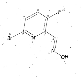 ON=Cc1nc(Br)ccc1F